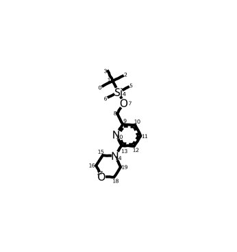 CC(C)(C)[Si](C)(C)OCc1cccc(N2CCOCC2)n1